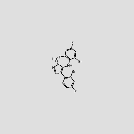 Cn1ncc(-c2ccc(F)cc2Br)c1Nc1c(F)cc(F)cc1Br